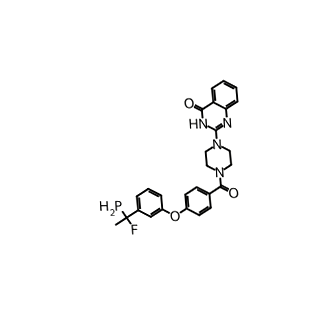 CC(F)(P)c1cccc(Oc2ccc(C(=O)N3CCN(c4nc5ccccc5c(=O)[nH]4)CC3)cc2)c1